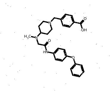 CN(CC(=O)Nc1ccc(Oc2ccccc2)cc1)C1CCN(Cc2ccc(C(=O)O)cc2)CC1